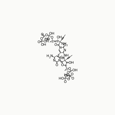 CC#CC1(N)[C@@H](O)[C@@H]([C@@H](C)OP(=O)(O)OP(=O)(O)OP(=O)(O)O)O[C@H]1n1cc(F)c(NNC2(C#CC)[C@@H](O)[C@@H]([C@H](C)OP(=O)(O)OP(=O)(O)OP(=O)(O)O)O[C@H]2n2c(C)cc(N)nc2=O)nc1=O